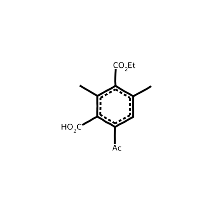 CCOC(=O)c1c(C)cc(C(C)=O)c(C(=O)O)c1C